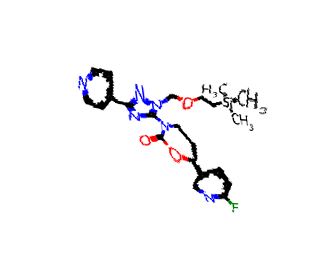 C[Si](C)(C)CCOCn1nc(-c2ccncc2)nc1N1CCC(c2ccc(F)nc2)OC1=O